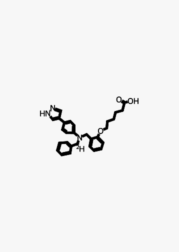 [2H]C(c1ccccc1)N(Cc1ccccc1OCCCCCC(=O)O)c1ccc(-c2cn[nH]c2)cc1